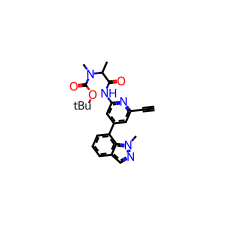 C#Cc1cc(-c2cccc3cnn(C)c23)cc(NC(=O)C(C)N(C)C(=O)OC(C)(C)C)n1